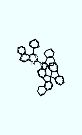 C1=CC2=C(CC1)c1c(c3c4c(ccc3n1-c1nc(-c3ccccc3)c3c(ccc5ccccc53)n1)-c1c(ccc3c1CCC=C3)C41c3ccccc3-c3ccccc31)CC2